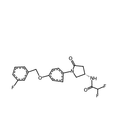 O=C(N[C@H]1CC(=O)N(c2ccc(OCc3cccc(F)c3)cc2)C1)C(F)F